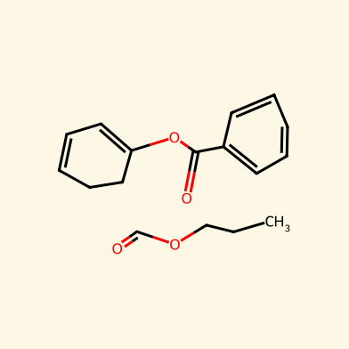 CCCOC=O.O=C(OC1=CC=CCC1)c1ccccc1